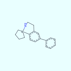 c1ccc(-c2ccc3c(c2)CCN[Si]32CCCC2)cc1